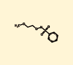 COCCO[N]S(=O)(=O)c1ccccc1